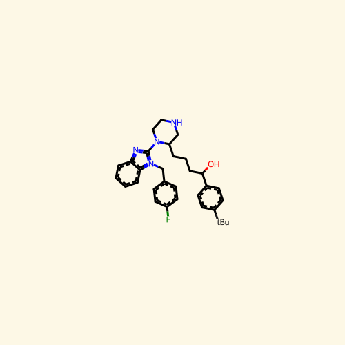 CC(C)(C)c1ccc(C(O)CCCC2CNCCN2c2nc3ccccc3n2Cc2ccc(F)cc2)cc1